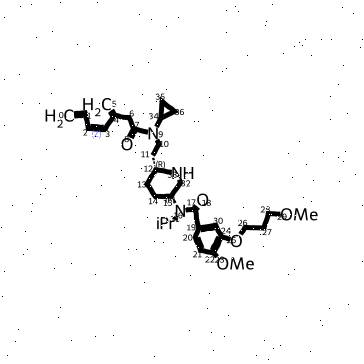 C=C/C=C\C(=C)CC(=O)N(CC[C@H]1CC[C@@H](N(C(=O)c2ccc(OC)c(OCCCOC)c2)C(C)C)CN1)C1CC1